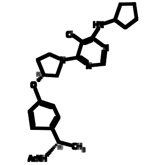 CC(=O)N[C@@H](C)c1ccc(O[C@@H]2CCN(c3ncnc(NC4CCCC4)c3Cl)C2)cc1